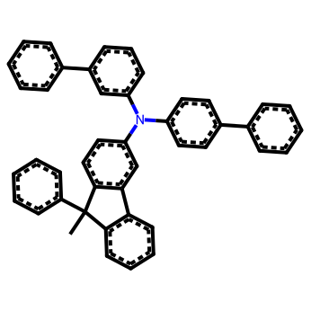 CC1(c2ccccc2)c2ccccc2-c2cc(N(c3ccc(-c4ccccc4)cc3)c3cccc(-c4ccccc4)c3)ccc21